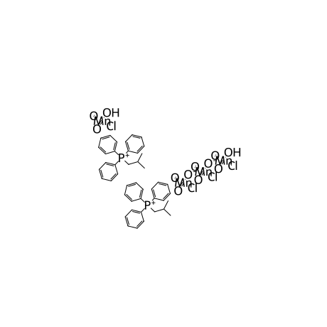 CC(C)C[P+](c1ccccc1)(c1ccccc1)c1ccccc1.CC(C)C[P+](c1ccccc1)(c1ccccc1)c1ccccc1.[O]=[Mn](=[O])([O-])[Cl].[O]=[Mn](=[O])([O-])[Cl].[O]=[Mn](=[O])([OH])[Cl].[O]=[Mn](=[O])([OH])[Cl]